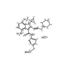 COCc1ccc(NC(=O)c2c(C#CCN3CCOCC3)n(C3(C)CC3)c3ncnc(N)c23)cc1.Cl